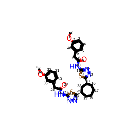 COc1cccc(CC(=O)Nc2nnc([C@H]3CCCC[C@H](c4nnc(NC(=O)Cc5cccc(OC)c5)s4)C3)s2)c1